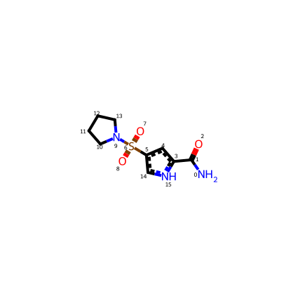 NC(=O)c1cc(S(=O)(=O)N2CCCC2)c[nH]1